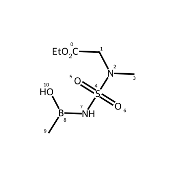 CCOC(=O)CN(C)S(=O)(=O)NB(C)O